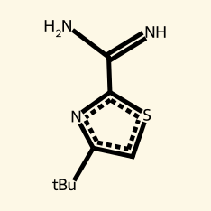 CC(C)(C)c1csc(C(=N)N)n1